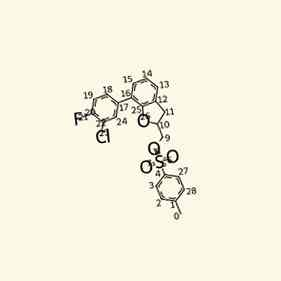 Cc1ccc(S(=O)(=O)OCC2Cc3cccc(-c4ccc(F)c(Cl)c4)c3O2)cc1